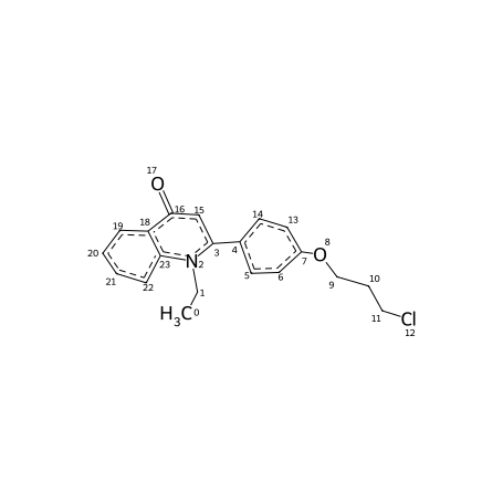 CCn1c(-c2ccc(OCCCCl)cc2)cc(=O)c2ccccc21